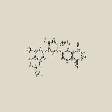 Cc1cc(-c2nc(-c3ccc4c(=O)[nH]cc(F)c4c3)c(N)nc2F)cc2c1CCN(C)C2